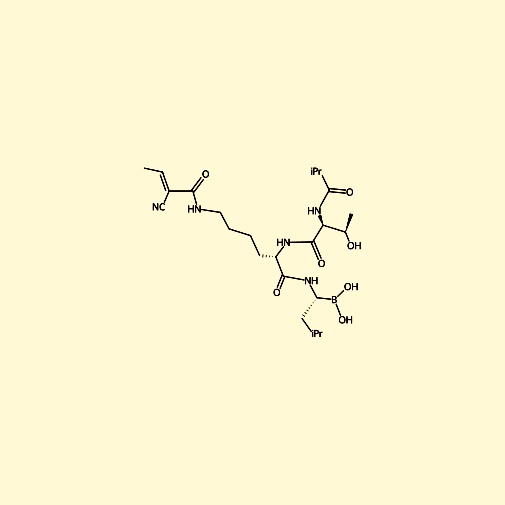 C/C=C(\C#N)C(=O)NCCCC[C@H](NC(=O)[C@@H](NC(=O)C(C)C)[C@@H](C)O)C(=O)N[C@@H](CC(C)C)B(O)O